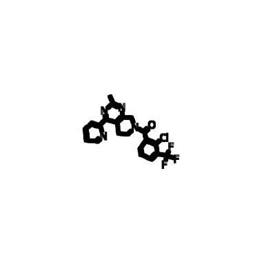 Cc1nc2c(c(-c3ccccn3)n1)CCN(C(=O)c1cccc(C(F)(F)F)c1Cl)C2